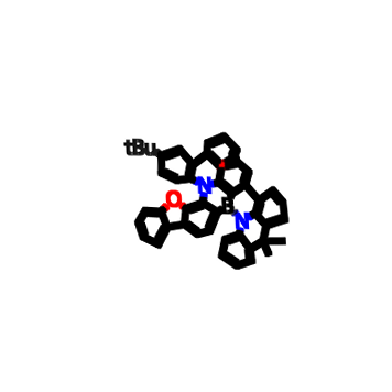 Cc1cc2c3c(c1)N(c1ccc(C(C)(C)C)cc1-c1ccccc1)c1c(ccc4c1oc1ccccc14)B3N1c3ccccc3C(C)(C)c3cccc-2c31